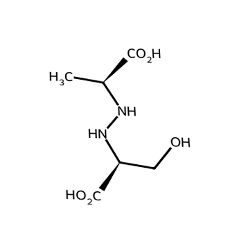 C[C@H](NN[C@@H](CO)C(=O)O)C(=O)O